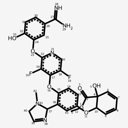 COC(=O)C1(O)C=CC=CC1Oc1ccc(Oc2c(F)cnc(Oc3cc(C(=N)N)ccc3O)c2F)c(C2N=CCN2C)c1